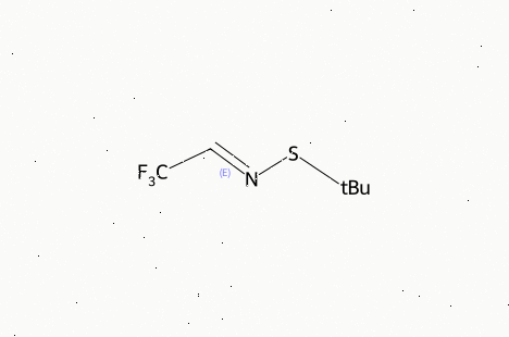 CC(C)(C)S/N=C/C(F)(F)F